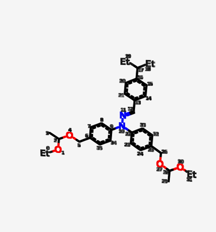 CCOC(C)OCc1ccc(N(N=Cc2ccc(C(CC)CC)cc2)c2ccc(COC(C)OCC)cc2)cc1